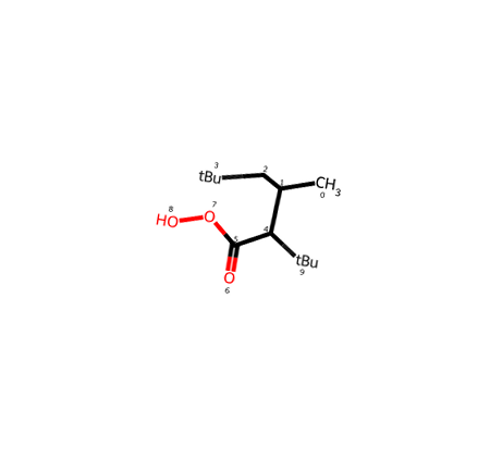 CC(CC(C)(C)C)C(C(=O)OO)C(C)(C)C